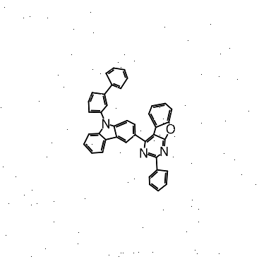 c1ccc(-c2cccc(-n3c4ccccc4c4cc(-c5nc(-c6ccccc6)nc6oc7ccccc7c56)ccc43)c2)cc1